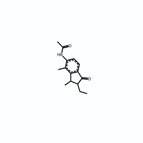 CCC1C(=O)c2ccc(NC(C)=O)c(C)c2C1C